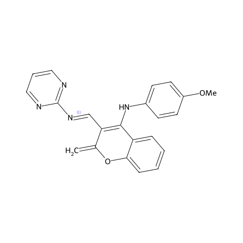 C=C1Oc2ccccc2C(Nc2ccc(OC)cc2)=C1/C=N/c1ncccn1